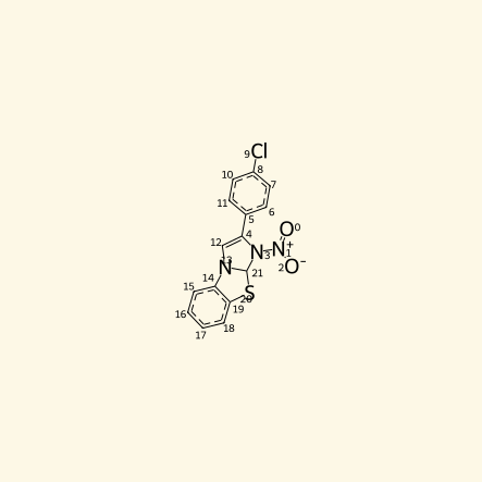 O=[N+]([O-])N1C(c2ccc(Cl)cc2)=CN2c3ccccc3SC21